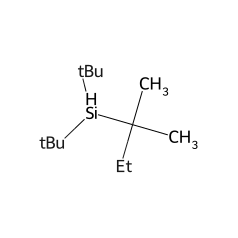 CCC(C)(C)[SiH](C(C)(C)C)C(C)(C)C